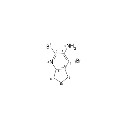 Nc1c(Br)nc2c(c1Br)CCC2